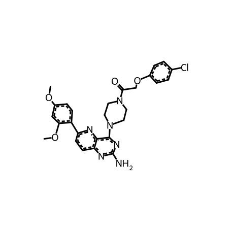 COc1ccc(-c2ccc3nc(N)nc(N4CCN(C(=O)COc5ccc(Cl)cc5)CC4)c3n2)c(OC)c1